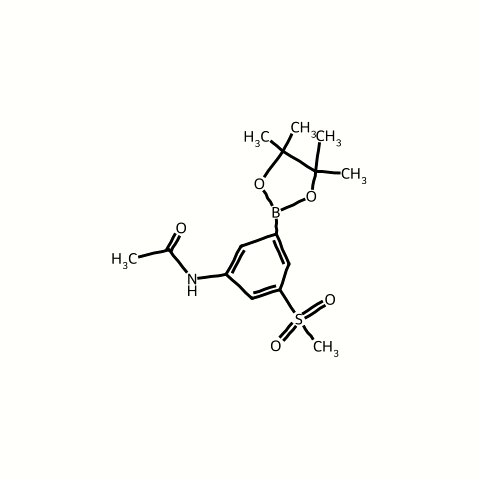 CC(=O)Nc1cc(B2OC(C)(C)C(C)(C)O2)cc(S(C)(=O)=O)c1